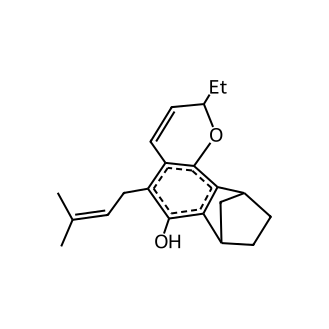 CCC1C=Cc2c(CC=C(C)C)c(O)c3c(c2O1)C1CCC3C1